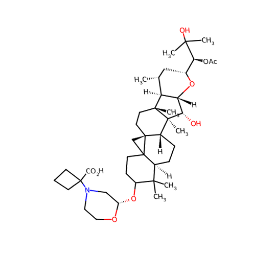 CC(=O)O[C@@H]([C@H]1C[C@@H](C)[C@H]2[C@H](O1)[C@H](O)[C@@]1(C)[C@@H]3CC[C@H]4C(C)(C)C(O[C@H]5CN(C6(C(=O)O)CCC6)CCO5)CCC45C[C@@]35CC[C@]21C)C(C)(C)O